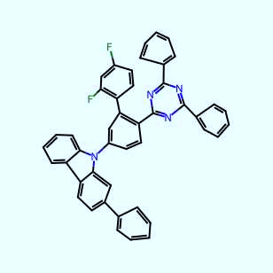 Fc1ccc(-c2cc(-n3c4ccccc4c4ccc(-c5ccccc5)cc43)ccc2-c2nc(-c3ccccc3)nc(-c3ccccc3)n2)c(F)c1